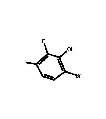 Oc1c(Br)ccc(I)c1F